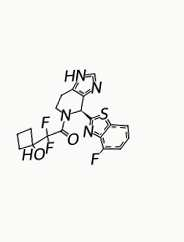 O=C(N1CCc2[nH]cnc2[C@H]1c1nc2c(F)cccc2s1)C(F)(F)C1(O)CCC1